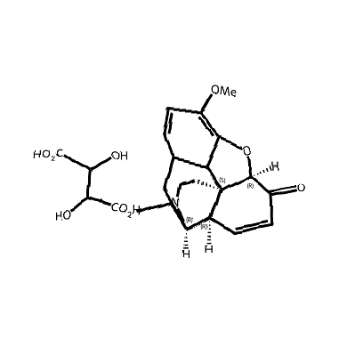 COC1=C2O[C@H]3C(=O)C=C[C@H]4[C@H]5CC(C=C1)C2[C@@]34CCN5C.O=C(O)C(O)C(O)C(=O)O